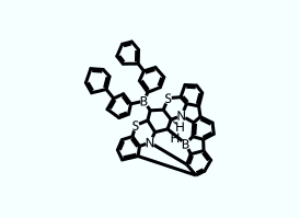 c1ccc(-c2cccc(B(c3cccc(-c4ccccc4)c3)C3C4Sc5cccc6c7ccc8c9c7n(c56)C4[C@@H]4B9c5c-8ccc6c7cccc8c7n(c56)[C@@H]4C3S8)c2)cc1